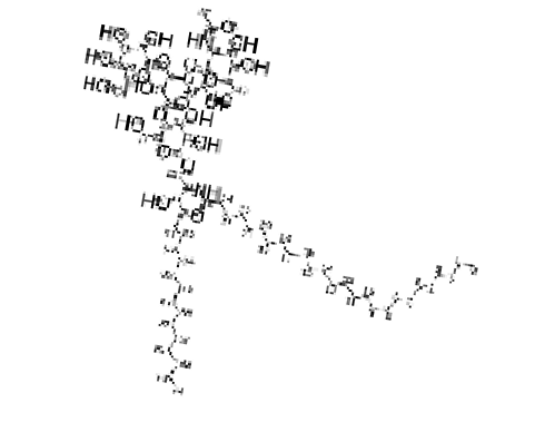 CCCCCCCC/C=C\CCCCCCCCCCCCCCCC(=O)N[C@@H](CO[C@@H]1OC(CO)[C@@H](O[C@@H]2OC(CO)[C@H](O[C@@H]3OC(CO)[C@H](O)[C@H](O)C3NC(C)=O)[C@H](O[C@H]3OC(CO)[C@H](O)[C@H](O)C3O)C2O)[C@H](O)C1O)[C@H](O)/C=C/CCCCCCCCCCCCC